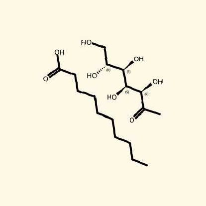 CC(=O)[C@H](O)[C@@H](O)[C@H](O)[C@H](O)CO.CCCCCCCCCC(=O)O